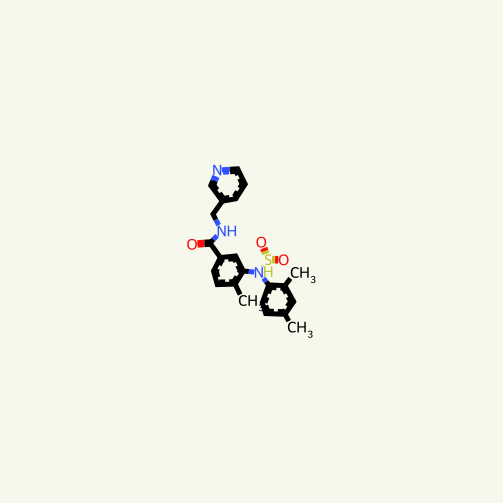 Cc1ccc(N(c2cc(C(=O)NCc3cccnc3)ccc2C)[SH](=O)=O)c(C)c1